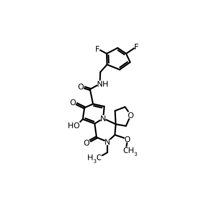 CCN1C(=O)c2c(O)c(=O)c(C(=O)NCc3ccc(F)cc3F)cn2C2(CCOC2)C1OC